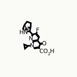 CN1C2CCC1C(c1nc3c(cc1F)c(=O)c(C(=O)O)cn3C1CC1)NC2